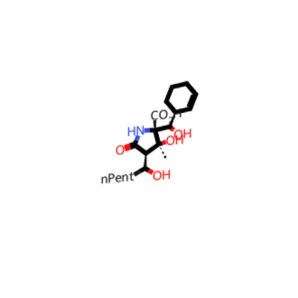 CCCCCC(O)[C@H]1C(=O)N[C@](C(=O)O)(C(O)[C@@H]2C=CCCC2)[C@@]1(C)O